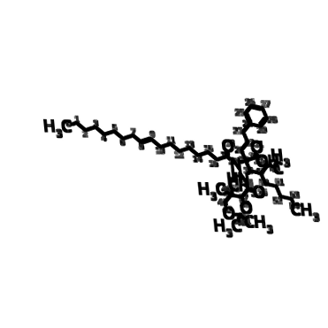 CCCCCCCCC=CCCCCCCCC(=O)NC(CCCc1ccccc1)(C(=O)O)C(NC(=O)C1OC(C)(C)OCC1(C)C)C(CC)CCCCC